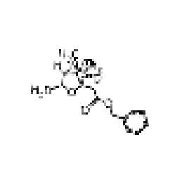 B[C@@H]1O[C@]2(CC(=O)OCc3ccccc3)C(C)[C@@H]1N(C)S2(=O)=O